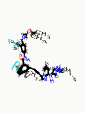 Cc1cc(F)c(C(=O)Nc2ccc(CN3CC(OC(C)C)C3)c(C(F)(F)F)c2)cc1C#Cc1cnc2c(Nc3cnn(C)c3)cccn12